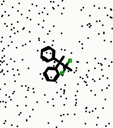 C[Si](Cl)(Cl)[Si](C)(c1ccccc1)c1ccccc1